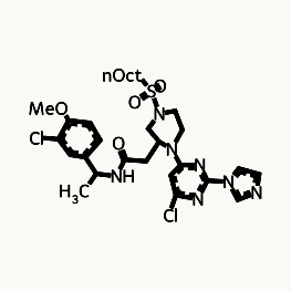 CCCCCCCCS(=O)(=O)N1CCN(c2cc(Cl)nc(-n3ccnc3)n2)C(CC(=O)NC(C)c2ccc(OC)c(Cl)c2)C1